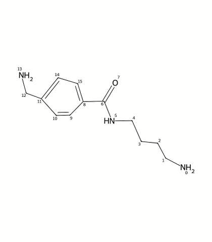 NCCCCNC(=O)c1ccc(CN)cc1